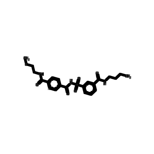 CCCCNC(=O)c1cccc(S(=O)(=O)NC(=O)c2ccc(C(=O)NCCOC)nc2)c1